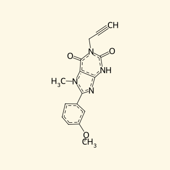 C#CCn1c(=O)[nH]c2nc(-c3cccc(OC)c3)n(C)c2c1=O